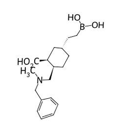 CN(Cc1ccccc1)C[C@@H]1CC[C@@H](CCB(O)O)C[C@@H]1C(=O)O